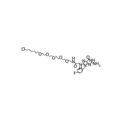 Nc1nc2c(nc(NCC(=O)NCCOCCOCCOCCOCCOCCCCCCCl)n2Cc2ccc(F)cc2)c(=O)[nH]1